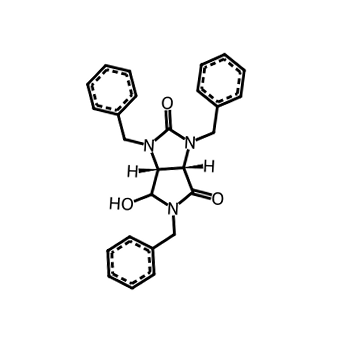 O=C1[C@@H]2[C@H](C(O)N1Cc1ccccc1)N(Cc1ccccc1)C(=O)N2Cc1ccccc1